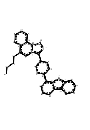 CCCCc1cn2c(-c3ccc(-c4cccc5c4oc4ccccc45)cc3)nnc2c2ccccc12